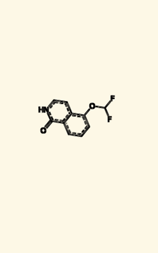 O=c1[nH]ccc2c(OC(F)F)cccc12